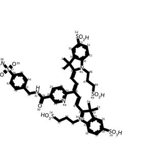 CC1(C)C(=CC=C(/C=C/C2=[N+](CCCS(=O)(=O)O)c3ccc(S(=O)(=O)O)cc3C2(C)C)c2ccc(C(=O)NCc3ccc(S(N)(=O)=O)cc3)cn2)N(CCCS(=O)(=O)O)c2ccc(S(=O)(=O)O)cc21